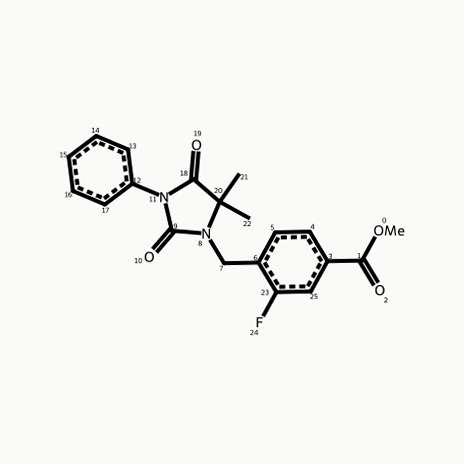 COC(=O)c1ccc(CN2C(=O)N(c3ccccc3)C(=O)C2(C)C)c(F)c1